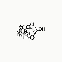 Cc1sc2c(c1C)C(c1ccc(Cl)cc1)=N[C@@H](CC(=O)Nc1cccc(C#CC(N)CO)c1)c1nnc(C)n1-2